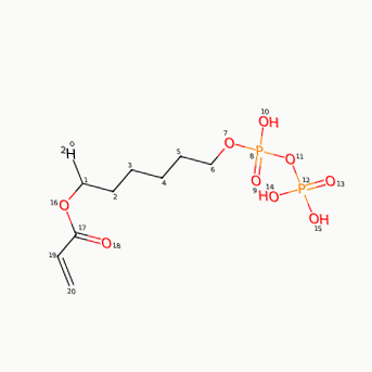 [2H]C(CCCCCOP(=O)(O)OP(=O)(O)O)OC(=O)C=C